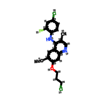 COc1cc2c(Nc3ccc(Cl)cc3F)c(C#N)cnc2cc1OCCCCl